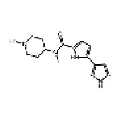 CCN1CCC(N(C)C(=O)c2ccc(-c3cn[nH]c3)[nH]2)CC1